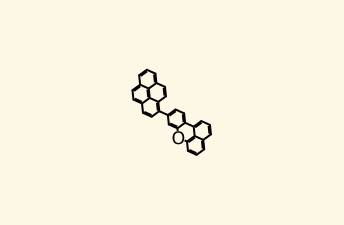 c1cc2c3c(cccc3c1)-c1ccc(-c3ccc4ccc5cccc6ccc3c4c56)cc1O2